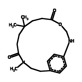 CN1CCc2ccc(cc2)NCOC(=O)CCC(C)(C)CCC1=O